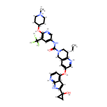 CC[C@H]1CN(C(=O)Nc2cnc(OC3CCN(C)CC3)c(C(F)(F)F)c2)Cc2cc(Oc3ccnc4[nH]c(C5(O)CC5)cc34)cnc21